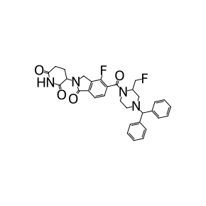 O=C1CCC(N2Cc3c(ccc(C(=O)N4CCN(C(c5ccccc5)c5ccccc5)CC4CF)c3F)C2=O)C(=O)N1